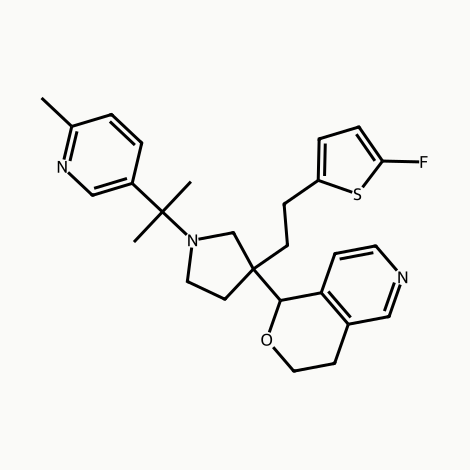 Cc1ccc(C(C)(C)N2CCC(CCc3ccc(F)s3)(C3OCCc4cnccc43)C2)cn1